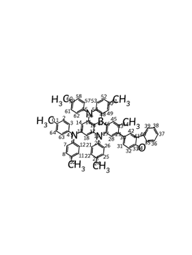 Cc1ccc(N(c2ccc(C)cc2)c2cc3c4c(c2)N(c2ccc(C)cc2)c2cc(-c5ccc6oc7ccccc7c6c5)c(C)cc2B4c2cc(C)ccc2N3c2ccc(C)cc2)cc1